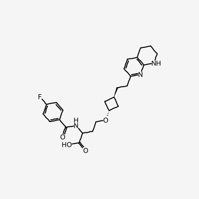 O=C(NC(CCO[C@H]1C[C@H](CCc2ccc3c(n2)NCCC3)C1)C(=O)O)c1ccc(F)cc1